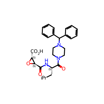 CC(C)C[C@H](NC(=O)[C@H]1O[C@@H]1C(=O)O)C(=O)N1CCN(C(c2ccccc2)c2ccccc2)CC1